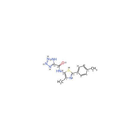 Cc1ccc(-c2nc(C)c(NC(=O)c3nnn[nH]3)s2)cc1